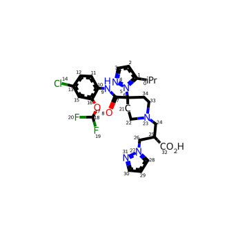 CC(C)c1ccnn1C1(C(=O)Nc2ccc(Cl)cc2OC(F)F)CCN(CC(Cn2cccn2)C(=O)O)CC1